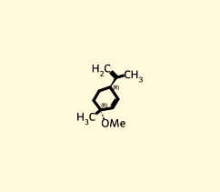 C=C(C)[C@H]1C=C[C@](C)(OC)CC1